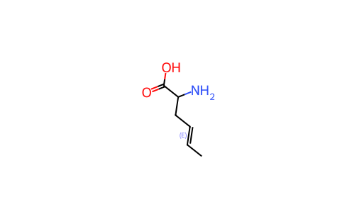 C/C=C/CC(N)C(=O)O